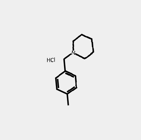 Cc1ccc(CN2CCCCC2)cc1.Cl